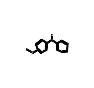 COc1ccc(I(F)c2ccccc2)cc1